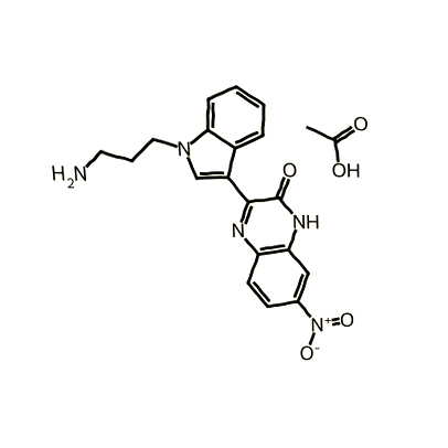 CC(=O)O.NCCCn1cc(-c2nc3ccc([N+](=O)[O-])cc3[nH]c2=O)c2ccccc21